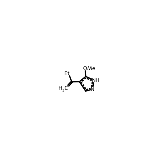 C=C(CC)c1cn[nH]c1OC